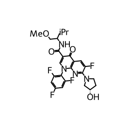 COCC(NC(=O)c1cn(-c2c(F)cc(F)cc2F)c2nc(N3CC[C@H](O)C3)c(F)cc2c1=O)C(C)C